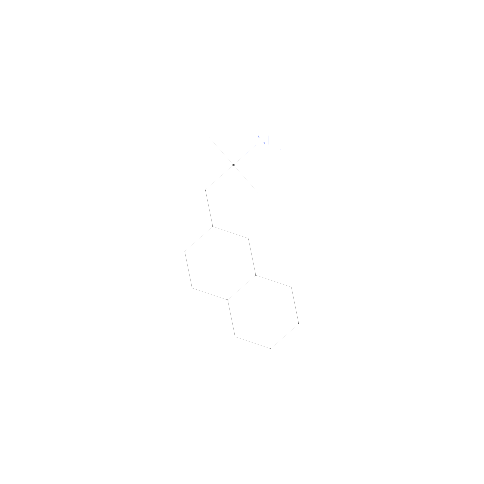 CC(C)(N)CC1CCC2CCCCC2C1